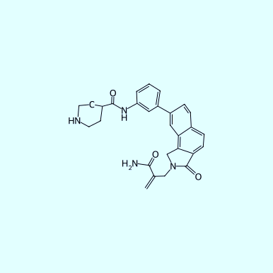 C=C(CN1Cc2c(ccc3ccc(-c4cccc(NC(=O)C5CCNCC5)c4)cc23)C1=O)C(N)=O